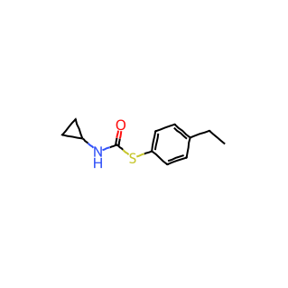 CCc1ccc(SC(=O)NC2CC2)cc1